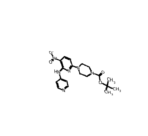 CC(C)(C)OC(=O)N1CCN(c2ccc([N+](=O)[O-])c(Nc3ccncc3)n2)CC1